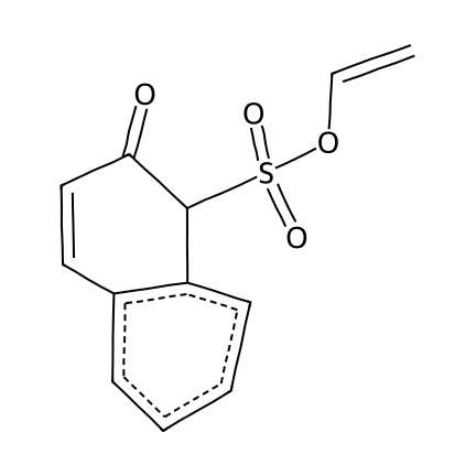 C=COS(=O)(=O)C1C(=O)C=Cc2ccccc21